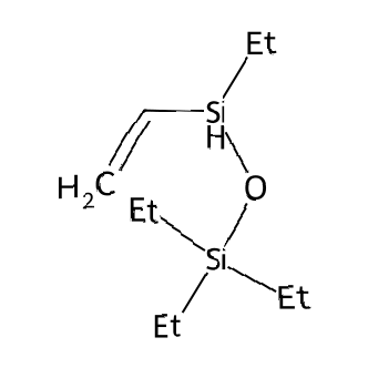 C=C[SiH](CC)O[Si](CC)(CC)CC